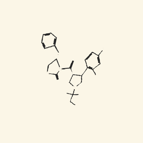 CCC(C)(C)N1CC(c2ccc(F)cc2F)[C@H](C(=O)N2C(=O)OC[C@@H]2Cc2ccccc2)C1